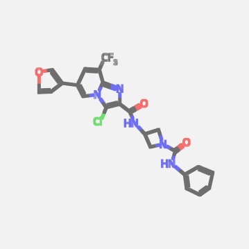 O=C(NC1CN(C(=O)Nc2ccccc2)C1)c1nc2c(C(F)(F)F)cc(-c3ccoc3)cn2c1Cl